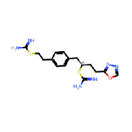 N=C(N)SCCc1ccc(C[C@@H](CCc2nnco2)SC(=N)N)cc1